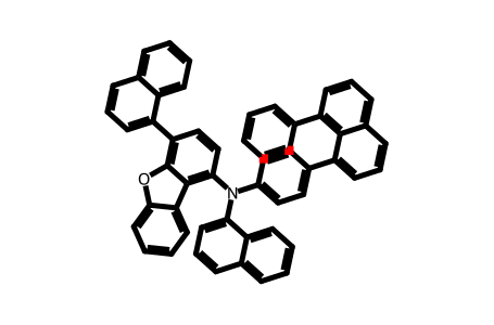 c1ccc(-c2cccc3cccc(-c4ccc(N(c5cccc6ccccc56)c5ccc(-c6cccc7ccccc67)c6oc7ccccc7c56)cc4)c23)cc1